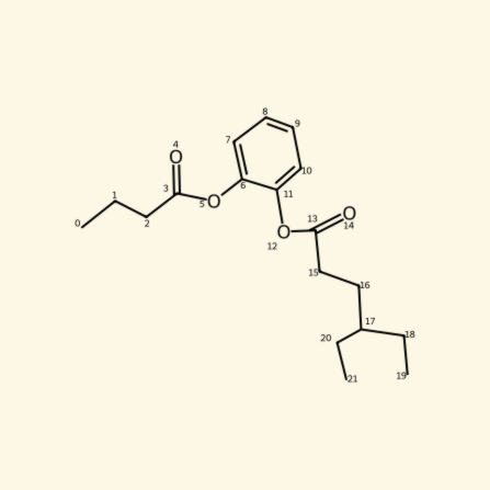 CCCC(=O)Oc1ccccc1OC(=O)CCC(CC)CC